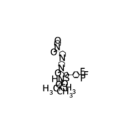 CC(C)(C)OC(=O)Nc1sc(-c2ccc(C(F)(F)F)cc2)cc1C(=O)N1CCC(N2CCC[C@@H](C(=O)N3CCOCC3)C2)CC1